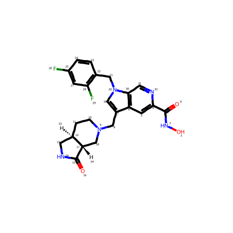 O=C(NO)c1cc2c(CN3CC[C@@H]4CNC(=O)[C@H]4C3)cn(Cc3ccc(F)cc3F)c2cn1